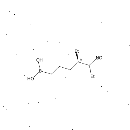 CCC(N=O)[C@H](CC)CCCB(O)O